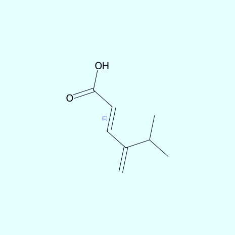 C=C(/C=C/C(=O)O)C(C)C